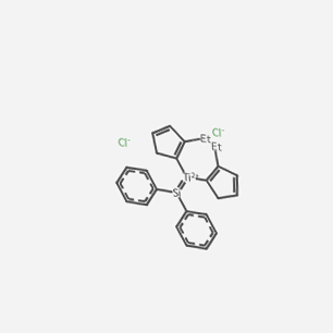 CCC1=[C]([Ti+2]([C]2=C(CC)C=CC2)=[Si](c2ccccc2)c2ccccc2)CC=C1.[Cl-].[Cl-]